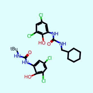 CC(C)(C)NC(=O)Nc1cc(Cl)cc(Cl)c1O.O=C(NCC1CCCCC1)Nc1cc(Cl)cc(Cl)c1O